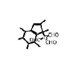 CC1=CC2=C(C(C)C(C)C(C)C2C)[C]1(C)[Ti]([CH]=O)([CH]=O)[CH]=O